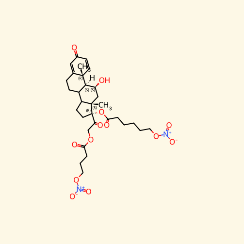 C[C@]12C=CC(=O)C=C1CCC1C3CC[C@](OC(=O)CCCCCO[N+](=O)[O-])(C(=O)COC(=O)CCCO[N+](=O)[O-])[C@@]3(C)C[C@H](O)[C@@H]12